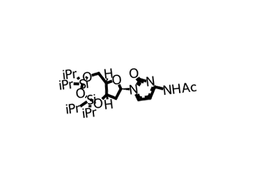 CC(=O)Nc1ccn([C@H]2C[C@@H]3O[Si](C(C)C)(C(C)C)O[Si](C(C)C)(C(C)C)OC[C@H]3O2)c(=O)n1